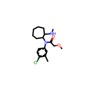 CNC1CCCCCC1N(C(=O)COC)c1ccc(Cl)c(C)c1